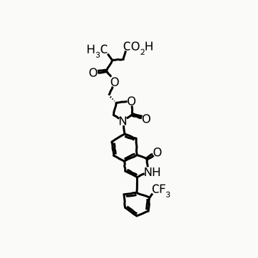 CC(CC(=O)O)C(=O)OC[C@H]1CN(c2ccc3cc(-c4ccccc4C(F)(F)F)[nH]c(=O)c3c2)C(=O)O1